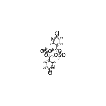 CS(=O)(=O)OC(CCC(OS(C)(=O)=O)c1ccc(Cl)nc1)c1ccc(Cl)nc1